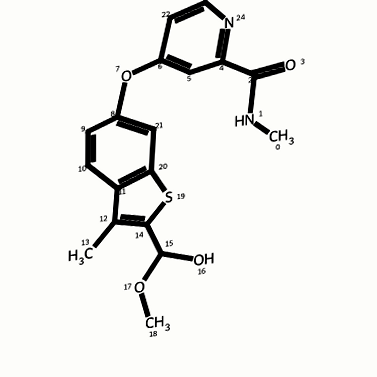 CNC(=O)c1cc(Oc2ccc3c(C)c(C(O)OC)sc3c2)ccn1